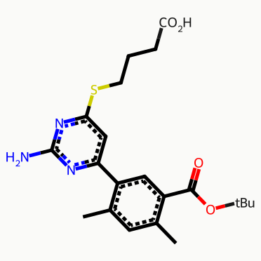 Cc1cc(C)c(-c2cc(SCCCC(=O)O)nc(N)n2)cc1C(=O)OC(C)(C)C